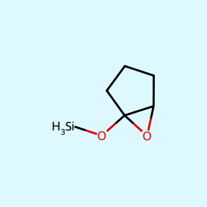 [SiH3]OC12CCCC1O2